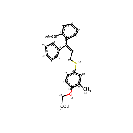 COc1ccccc1C(=CCSc1ccc(OCC(=O)O)c(C)c1)c1ccccc1